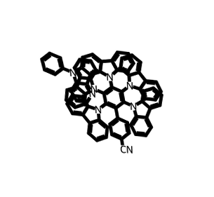 N#Cc1ccc(-c2c(-n3c4ccccc4c4ccccc43)c(-n3c4ccccc4c4ccccc43)c(-n3c4ccccc4c4ccc5c(c6ncccc6n5-c5ccccc5)c43)c(-n3c4ccccc4c4ccccc43)c2-n2c3ccccc3c3ccccc32)cc1